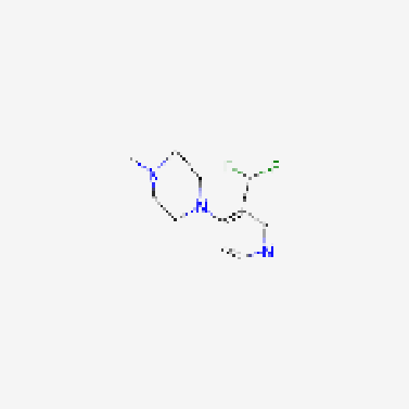 CN1CCN(c2ccncc2C(F)F)CC1